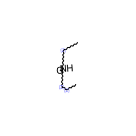 CCCCC/C=C\C/C=C\CCCCCCCC(=O)NCCCCCCCC/C=C\CCCCCCCC